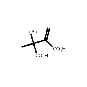 C=C(C(=O)O)C(C)(CCCC)C(=O)O